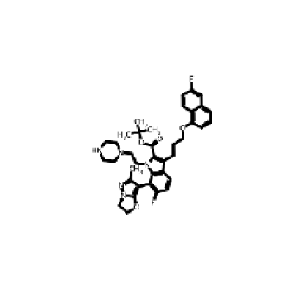 Cc1nn2c(c1-c1c(F)ccc3c(CCCOc4cccc5cc(F)ccc45)c(C(=O)OC(C)(C)C)n(CCN4CCNCC4)c13)OCC2